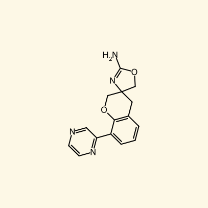 NC1=NC2(CO1)COc1c(cccc1-c1cnccn1)C2